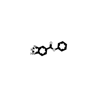 O=C(Oc1ccccc1)c1ccc2[nH]nnc2c1